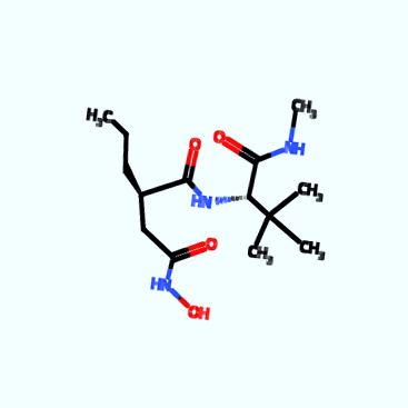 CCC[C@H](CC(=O)NO)C(=O)N[C@H](C(=O)NC)C(C)(C)C